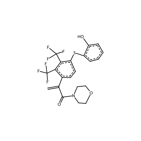 C=C(C(=O)N1CCOCC1)c1ccc(Sc2ccccc2O)c(C(F)(F)F)c1C(F)(F)F